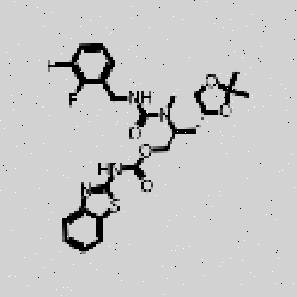 CN(C(=O)NCc1cccc(F)c1F)[C@H](COC(=O)Nc1nc2ccccc2s1)C[C@@H]1COC(C)(C)O1